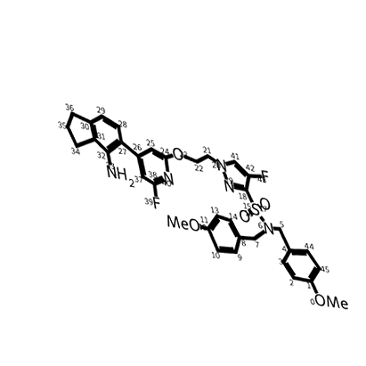 COc1ccc(CN(Cc2ccc(OC)cc2)S(=O)(=O)c2nn(CCOc3cc(-c4ccc5c(c4N)CCC5)cc(F)n3)cc2F)cc1